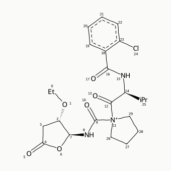 CCO[C@H]1CC(=O)O[C@@H]1NC(=O)[N+]1(C(=O)[C@@H](NC(=O)c2ccccc2Cl)C(C)C)CCCC1